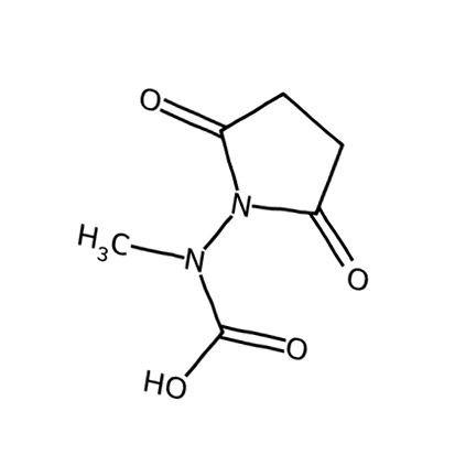 CN(C(=O)O)N1C(=O)CCC1=O